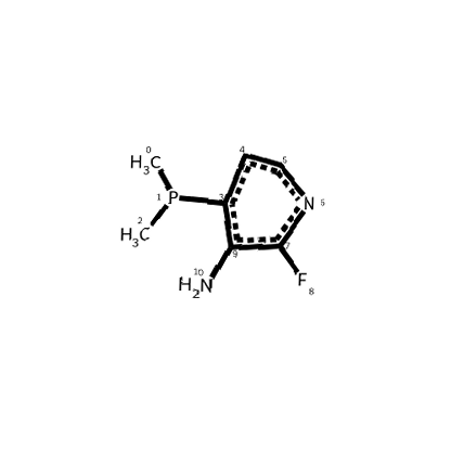 CP(C)c1ccnc(F)c1N